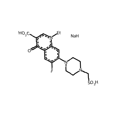 CCn1cc(C(=O)O)c(=O)c2cc(F)c(N3CCN(CS(=O)(=O)O)CC3)cc21.[NaH]